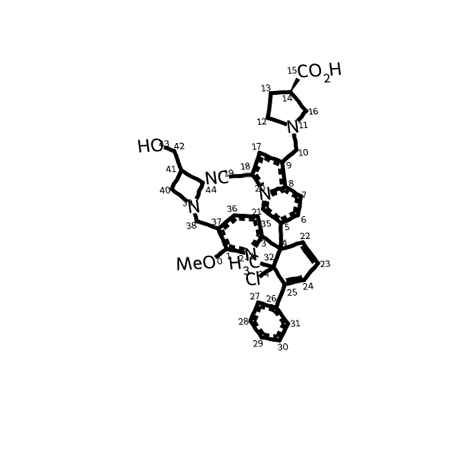 COc1nc(C2(c3ccc4c(CN5CC[C@@H](C(=O)O)C5)cc(C#N)n4c3)C=CC=C(c3ccccc3)C2(C)Cl)ccc1CN1CC(CO)C1